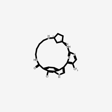 O=C1NCCCCN[C@H]2CC[C@@H](C2)Nc2ncc(C(F)(F)F)c(n2)-c2c[nH]c3c(Cl)c1ccc23